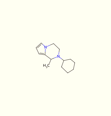 CC1c2cccn2CCN1C1CCCCC1